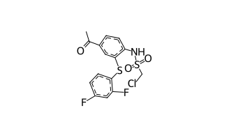 CC(=O)c1ccc(NS(=O)(=O)CCl)c(Sc2ccc(F)cc2F)c1